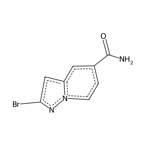 NC(=O)c1ccn2nc(Br)cc2c1